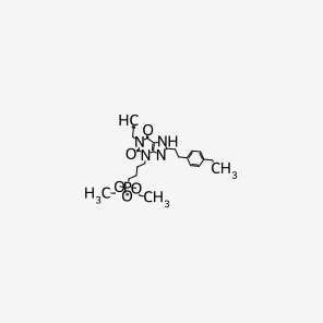 C#CCn1c(=O)c2[nH]c(CCc3ccc(CC)cc3)nc2n(CCCCP(=O)(OCC)OCC)c1=O